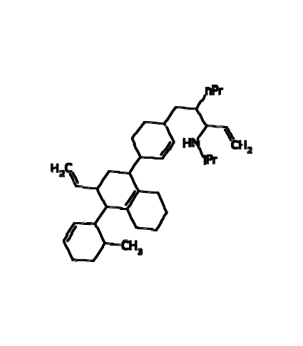 C=CC1CC(C2C=CC(CC(CCC)C(C=C)NC(C)C)CC2)C2=C(CCCC2)C1C1C=CCCC1C